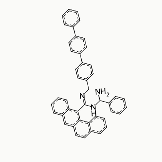 NC(N/C(=N\Cc1ccc(-c2ccc(-c3ccccc3)cc2)cc1)c1c2ccccc2cc2ccc3ccccc3c12)c1ccccc1